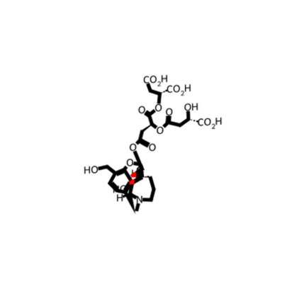 CN1CCC[C@]23c4c5ccc(CO)c4O[C@H]2C(OC(=O)C[C@H](OC(=O)C[C@H](O)C(=O)O)C(=O)O[C@H](CC(=O)O)C(=O)O)=CC[C@@]3(O)[C@H]1C5